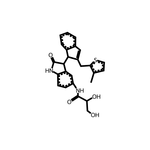 Cc1ccsc1CC1=Cc2ccccc2C1C1C(=O)Nc2ccc(NC(=O)C(O)CO)cc21